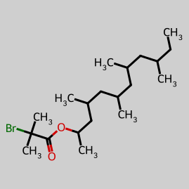 CCC(C)CC(C)CC(C)CC(C)CC(C)OC(=O)C(C)(C)Br